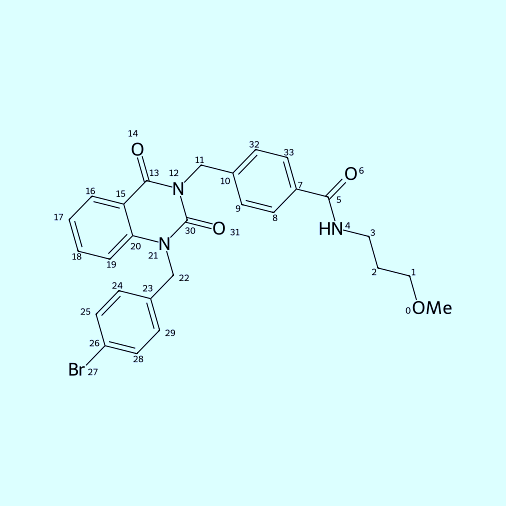 COCCCNC(=O)c1ccc(Cn2c(=O)c3ccccc3n(Cc3ccc(Br)cc3)c2=O)cc1